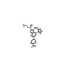 CNc1ncc(-c2cc(-c3ccnn3C)c3c(N)c([S+]([O-])CCOC)sc3n2)cn1